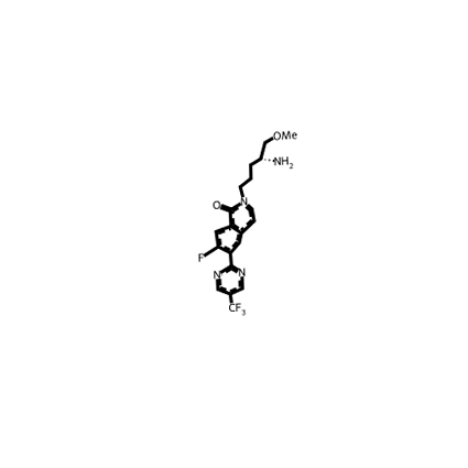 COC[C@H](N)CCCn1ccc2cc(-c3ncc(C(F)(F)F)cn3)c(F)cc2c1=O